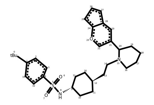 CC(C)(C)c1ccc(S(=O)(=O)N[C@H]2CC[C@H](CCN3CCCCC3c3coc4cccc-4c3)CC2)cc1